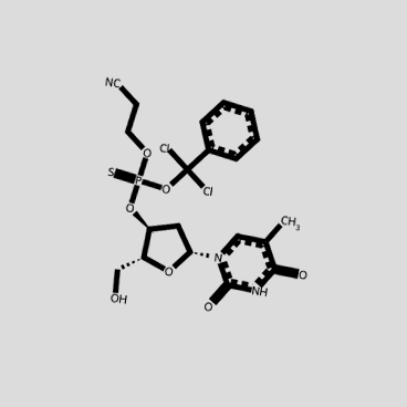 Cc1cn([C@H]2C[C@H](OP(=S)(OCCC#N)OC(Cl)(Cl)c3ccccc3)[C@@H](CO)O2)c(=O)[nH]c1=O